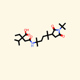 CCC(CC(=O)NC(C)(C)CCC(C)(C)C1CC(=O)N(C(C)(C)C)C1=O)(C(=O)O)C(C)C